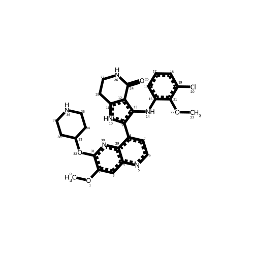 COc1cc2nccc(-c3[nH]c4c(c3Nc3cccc(Cl)c3OC)C(=O)NCC4)c2nc1OC1CCNCC1